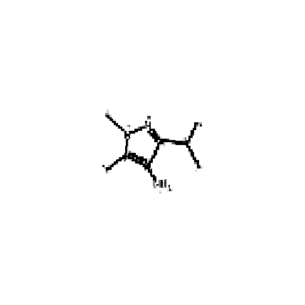 Cc1c(N)c(C(C)C)nn1C